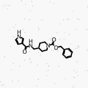 O=C(NCC1CCN(C(=O)OCc2ccccc2)CC1)c1cc[nH]c1